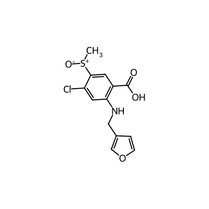 C[S+]([O-])c1cc(C(=O)O)c(NCc2ccoc2)cc1Cl